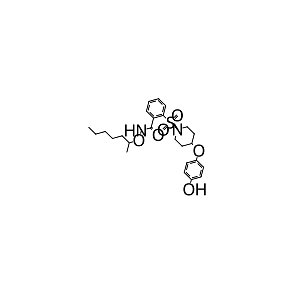 CCCCCC(C)ONC(=O)c1ccccc1S(=O)(=O)N1CCC(Oc2ccc(O)cc2)CC1